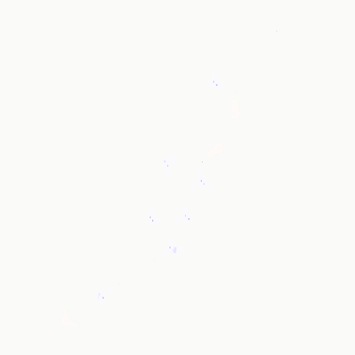 Cc1ccc(NC(=O)c2cccc(C(F)(F)F)c2)cc1-c1nc2cnc(Nc3ccc(N4CCOCC4)cc3)nc2n(C)c1=O